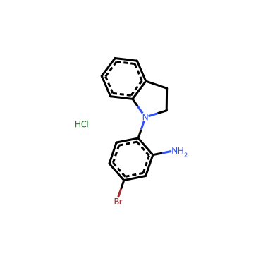 Cl.Nc1cc(Br)ccc1N1CCc2ccccc21